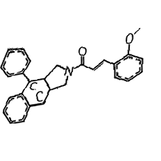 COc1ccccc1C=CC(=O)N1CC2C3CCC(c4ccccc4)(c4ccccc43)C2C1